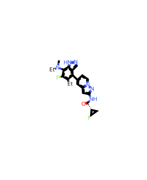 CCc1c(F)c(N(C)CC)c2[nH]ncc2c1-c1ccn2nc(NC(=O)[C@@H]3C[C@@H]3F)cc2c1